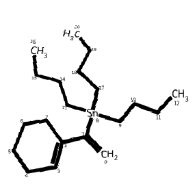 C=[C](C1=CCCCC1)[Sn]([CH2]CCC)([CH2]CCC)[CH2]CCC